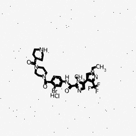 CCn1cc(-c2cnc(C(=O)Nc3ccc(C(=O)N4CCN(C(=O)C5CCNCC5)CC4)c(Br)c3)n2C)c(C(F)(F)F)n1.Cl